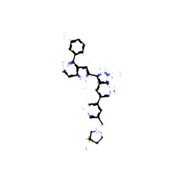 Fc1cccc(-c2nccc3[nH]c(-c4n[nH]c5ncc(-c6cncc(CN7CCC(F)(F)C7)c6)cc45)cc23)c1